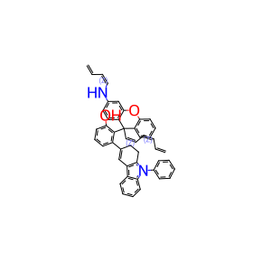 C=C/C=C\C=C/C1(c2c(O)cccc2C2=Cc3c(n(-c4ccccc4)c4ccccc34)CC2)c2ccccc2Oc2cc(N/C=C\C=C)ccc21